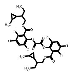 CCC(COC(=O)c1c(Cl)c(Cl)cc(Cl)c1OC(=O)C(=O)Oc1c(Cl)cc(Cl)c(Cl)c1C(=O)OCC(CC)C1CC1C)C1CC1C